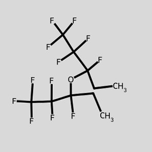 CCC(F)(OC(F)(CC)C(F)(F)C(F)(F)F)C(F)(F)C(F)(F)F